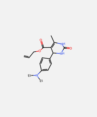 C=CCOC(=O)C1=C(C)NC(=O)NC1c1ccc(N(CC)CC)cc1